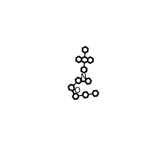 c1ccc(-c2ccc(-c3cccc4c3oc3c(-c5ccc6c(c5)c5ccccc5n6-c5ccc(-c6c7ccccc7c(-c7ccccc7)c7ccccc67)cc5)cccc34)cc2)cc1